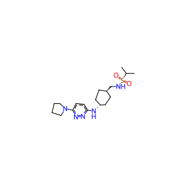 CC(C)S(=O)(=O)NC[C@H]1CC[C@H](Nc2ccc(N3CCCC3)nn2)CC1